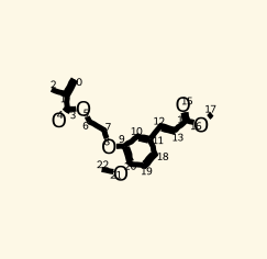 C=C(C)C(=O)OCCOc1cc(C=CC(=O)OC)ccc1OC